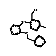 Cc1ccc(Pc2ccccc2OCc2ccccc2)c(CO)c1